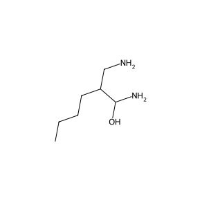 CCCCC(CN)C(N)O